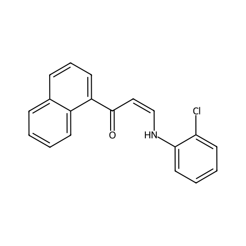 O=C(/C=C\Nc1ccccc1Cl)c1cccc2ccccc12